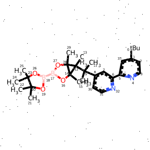 CC(C)(C)c1ccnc(-c2cc(C(C)(C)C3(C)C4(C)OB(B5OC(C)(C)C(C)(C)O5)OC43C)ccn2)c1